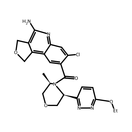 CCOc1ccc([C@H]2COC[C@@H](C)N2C(=O)c2cc3c4c(c(N)nc3cc2Cl)COC4)nn1